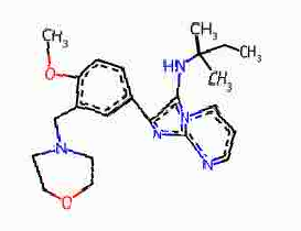 CCC(C)(C)Nc1c(-c2ccc(OC)c(CN3CCOCC3)c2)nc2ncccn12